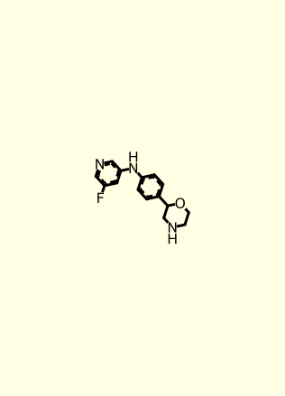 Fc1cncc(Nc2ccc(C3CNCCO3)cc2)c1